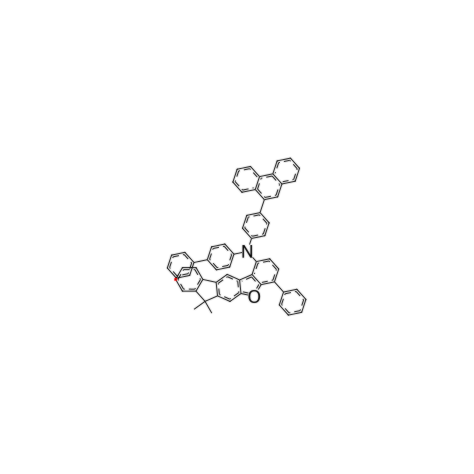 CC1(C)c2ccccc2-c2cc3c(cc21)oc1c(-c2ccccc2)ccc(N(c2ccc(-c4ccccc4)cc2)c2ccc(-c4cc5ccccc5c5ccccc45)cc2)c13